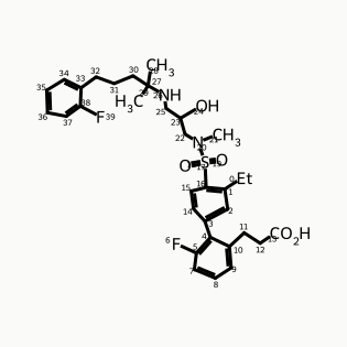 CCc1cc(-c2c(F)cccc2CCC(=O)O)ccc1S(=O)(=O)N(C)CC(O)CNC(C)(C)CCCc1ccccc1F